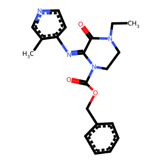 CCN1CCN(C(=O)OCc2ccccc2)C(=Nc2ccncc2C)C1=O